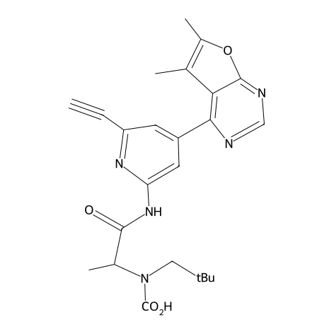 C#Cc1cc(-c2ncnc3oc(C)c(C)c23)cc(NC(=O)C(C)N(CC(C)(C)C)C(=O)O)n1